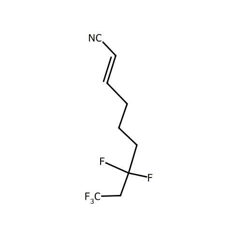 N#CC=CCCCC(F)(F)CC(F)(F)F